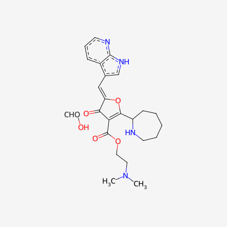 CN(C)CCOC(=O)C1=C(C2CCCCCN2)OC(=Cc2c[nH]c3ncccc23)C1=O.O=CO